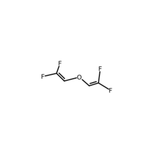 FC(F)=COC=C(F)F